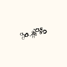 Cc1ccc(S(=O)(=O)c2ccccc2)cc1S(=O)(=O)NCCc1ccc(Cl)c(Cl)c1